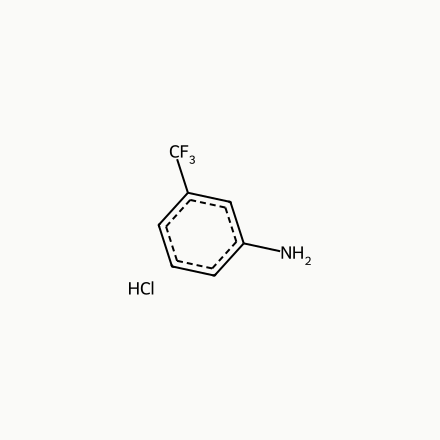 Cl.Nc1cccc(C(F)(F)F)c1